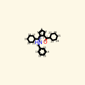 O=C(C1=CC=C/C1=C(/NCc1ccccc1)C1CCCCC1)C1CCCCC1